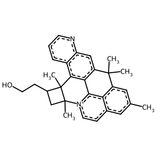 Cc1cc2c3c4[n+](ccc3c1)C1(C)CC(CCO)C1(C)c1c-4c(cc3ncccc13)C2(C)C